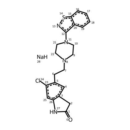 O=C1Cc2cc(CCN3CCN(c4nsc5ccccc45)CC3)c(Cl)cc2N1.[NaH]